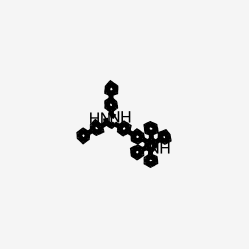 C1=C(c2ccc(-c3ccccc3)cc2)NC(c2ccc(-c3ccccc3)cc2)NC1c1ccc(-c2ccc(C3=C(c4ccccc4)C(c4ccccc4)NC(c4ccccc4)=C3c3ccccc3)cc2)cc1